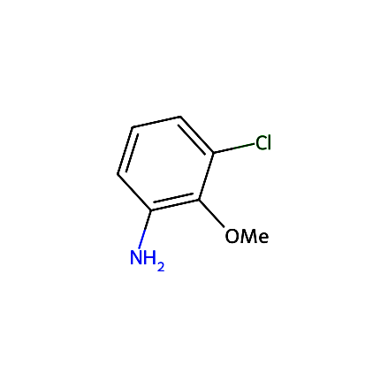 COc1c(N)cccc1Cl